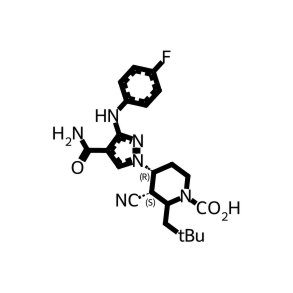 CC(C)(C)CC1[C@H](C#N)[C@H](n2cc(C(N)=O)c(Nc3ccc(F)cc3)n2)CCN1C(=O)O